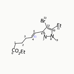 CCOC(=O)CCC/C=C/c1nn(C)c(CC)c1Br